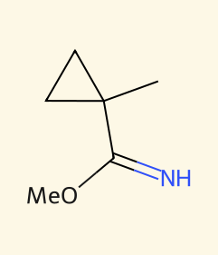 COC(=N)C1(C)CC1